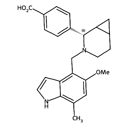 COc1cc(C)c2[nH]ccc2c1CN1CCC2CC2[C@H]1c1ccc(C(=O)O)cc1